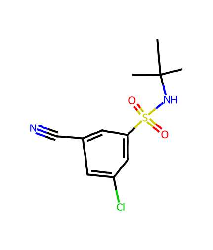 CC(C)(C)NS(=O)(=O)c1cc(Cl)cc(C#N)c1